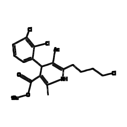 CC(=O)C1=C(CCCCCl)NC(C)=C(C(=O)OC(C)(C)C)C1c1cccc(Cl)c1Cl